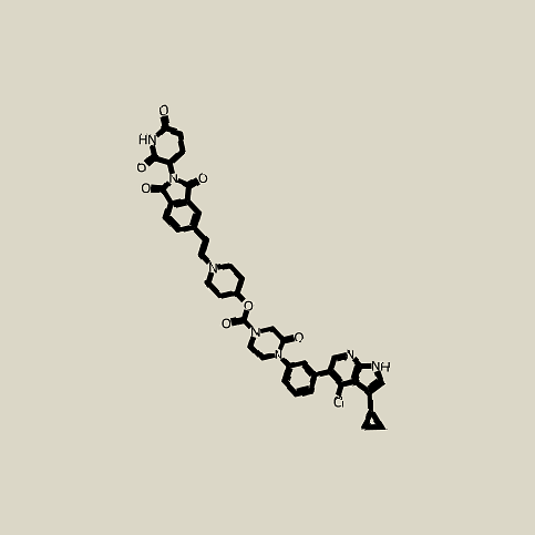 O=C1CCC(N2C(=O)c3ccc(CCN4CCC(OC(=O)N5CCN(c6cccc(-c7cnc8[nH]cc(C9CC9)c8c7Cl)c6)C(=O)C5)CC4)cc3C2=O)C(=O)N1